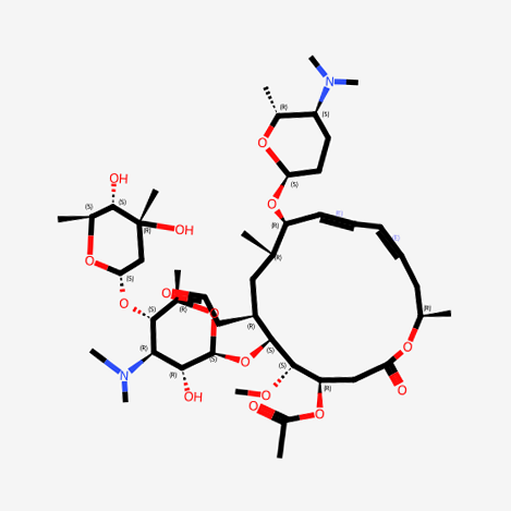 CO[C@@H]1[C@@H](O[C@@H]2O[C@H](C)[C@@H](O[C@H]3C[C@@](C)(O)[C@@H](O)[C@H](C)O3)[C@H](N(C)C)[C@H]2O)[C@@H](CC=O)C[C@@H](C)[C@@H](O[C@@H]2CC[C@H](N(C)C)[C@@H](C)O2)/C=C/C=C/C[C@@H](C)OC(=O)C[C@H]1OC(C)=O